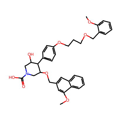 COc1ccccc1COCCCOc1ccc(C2C(O)CN(C(=O)O)CC2OCc2cc(OC)c3ccccc3c2)cc1